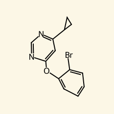 Brc1ccccc1Oc1cc(C2CC2)ncn1